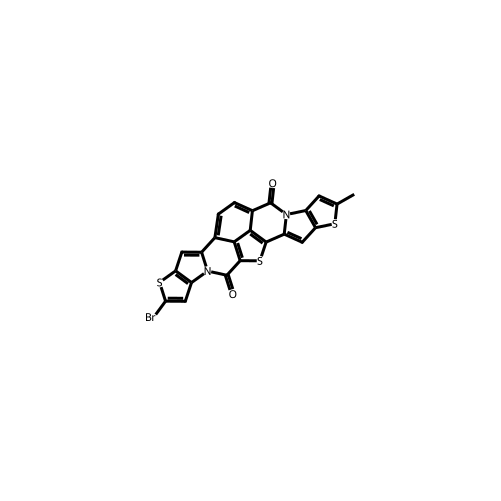 Cc1cc2c(cc3c4sc5c(=O)n6c7cc(Br)sc7cc6c6ccc(c(=O)n23)c4c56)s1